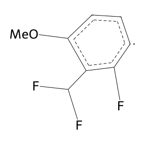 COc1cc[c]c(F)c1C(F)F